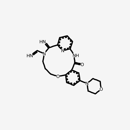 N=CN1CCCOc2ccc(N3CCOCC3)cc2C(=O)Nc2cccc(n2)C1=N